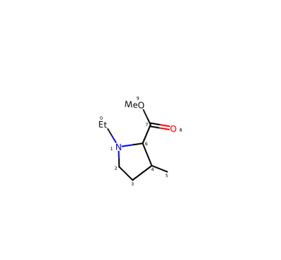 CCN1CCC(C)C1C(=O)OC